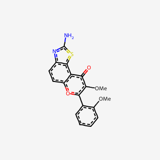 COc1ccccc1-c1oc2ccc3nc(N)sc3c2c(=O)c1OC